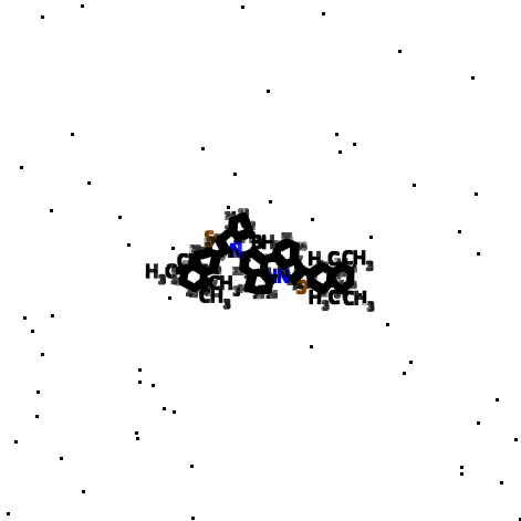 CC1(C)CCC(C)(C)c2cc3c(cc21)sc1[nH]c2c(-c4c5c(cc6ccccc46)-n4c6c(cccc6c6sc7cc8c(cc7c64)C(C)(C)CCC8(C)C)B5)cccc2c13